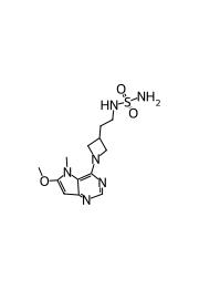 COc1cc2ncnc(N3CC(CCNS(N)(=O)=O)C3)c2n1C